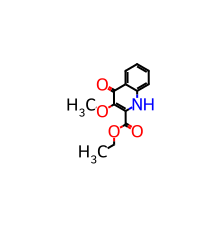 CCOC(=O)c1[nH]c2ccccc2c(=O)c1OC